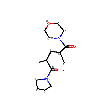 CC(CC(C)C(=O)N1CCOCC1)C(=O)N1CCCC1